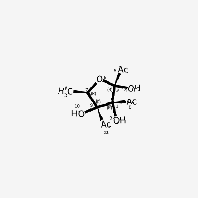 CC(=O)[C@]1(O)[C@](O)(C(C)=O)O[C@H](C)[C@]1(O)C(C)=O